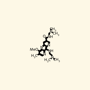 COc1c(C)cnc2c(NCCN(C)C)c3ncc(C(=O)NCN(C)C)cc3nc12